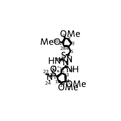 COc1ccc(Cc2nn(C(=N)Cc3cc(OC)c(OC)cc3[S+]([O-])N(C)C)c(=N)s2)cc1OC